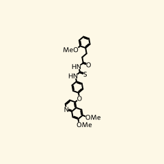 COc1ccccc1CCC(=O)NC(=S)Nc1ccc(Oc2ccnc3cc(OC)c(OC)cc23)cc1